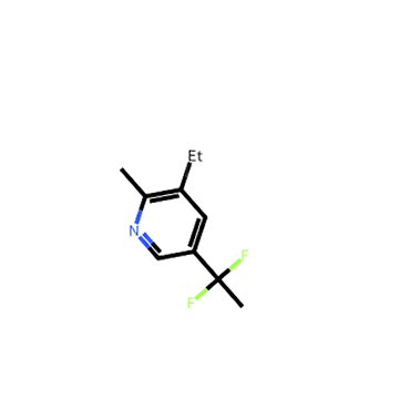 CCc1cc(C(C)(F)F)cnc1C